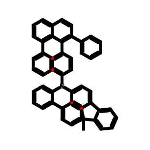 CC1(C)c2ccccc2-c2ccc(N(c3ccc(-c4c(-c5ccccc5)ccc5cccc(-c6ccccc6)c45)cc3)c3ccccc3-c3ccccc3)cc21